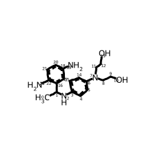 CC(Nc1ccc(N(CCO)CCO)cc1)c1cc(N)ccc1N